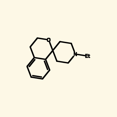 CCN1CCC2(CC1)OCCc1ccccc12